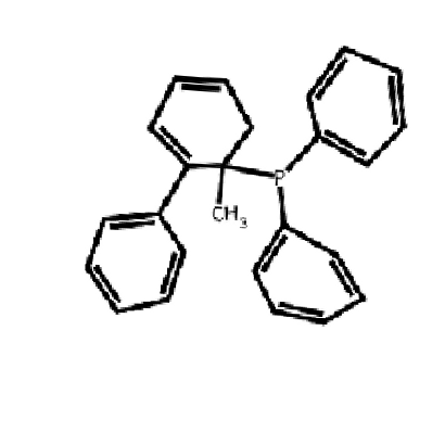 CC1(P(c2ccccc2)c2ccccc2)CC=CC=C1c1ccccc1